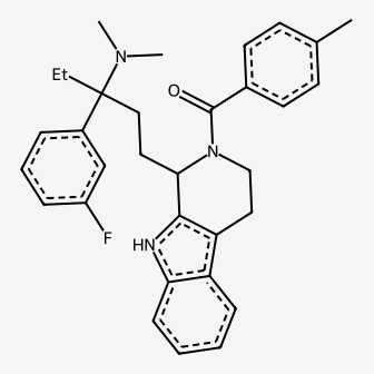 CCC(CCC1c2[nH]c3ccccc3c2CCN1C(=O)c1ccc(C)cc1)(c1cccc(F)c1)N(C)C